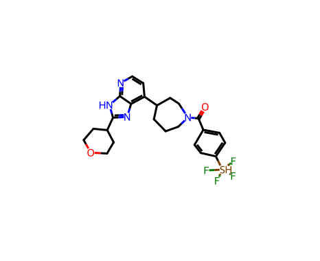 O=C(c1ccc([SH](F)(F)(F)F)cc1)N1CCCC(c2ccnc3[nH]c(C4CCOCC4)nc23)CC1